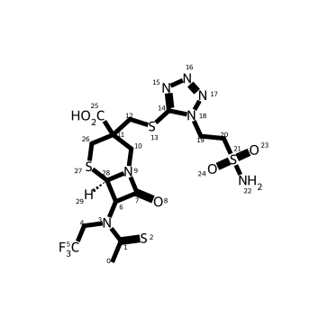 CC(=S)N(CC(F)(F)F)C1C(=O)N2CC(CSc3nnnn3CCS(N)(=O)=O)(C(=O)O)CS[C@H]12